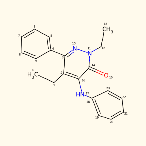 CCc1c(-c2ccccc2)nn(CC)c(=O)c1Nc1ccccc1